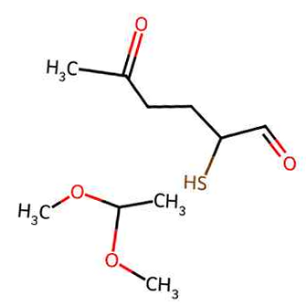 CC(=O)CCC(S)C=O.COC(C)OC